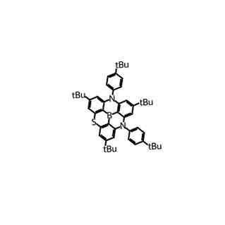 CC(C)(C)c1ccc(N2c3cc(C(C)(C)C)cc4c3B3c5c(cc(C(C)(C)C)cc5N(c5ccc(C(C)(C)C)cc5)c5cc(C(C)(C)C)cc2c53)S4)cc1